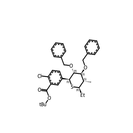 CC[C@H]1S[C@@H](c2ccc(Cl)c(C(=O)OC(C)(C)C)c2)[C@H](OCc2ccccc2)[C@@H](OCc2ccccc2)[C@@H]1C